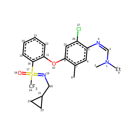 CCN(C)/C=N\c1cc(C)c(Oc2ccccc2S(=O)(=NCC2CC2)C(F)(F)F)cc1Cl